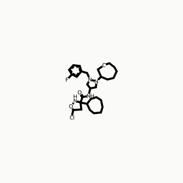 O=C(NC1CN(Cc2cccc(F)c2)N(C2CCCCCCC2)C1)C1(C2CCCCCCC2)CC(Cl)ON1